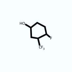 OC1CCC(F)C(C(F)(F)F)C1